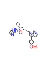 O=C(NCc1ccccn1)C(CCCCCn1cc(-c2ccc(O)cc2)c2cccnc21)C1CCCC1